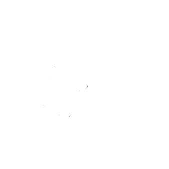 Fc1ccc([C@]2(Cn3ccnc3)OC[C@@H](COc3ccc(-c4ccccc4)cc3)O2)c(Cl)c1.O=[N+]([O-])O